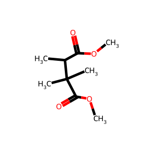 COC(=O)C(C)C(C)(C)C(=O)OC